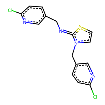 Clc1ccc(CN=c2sccn2Cc2ccc(Cl)nc2)cn1